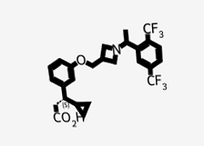 CC(c1cc(C(F)(F)F)ccc1C(F)(F)F)N1CC(COc2cccc([C@@H](CC(=O)O)C3CC3)c2)C1